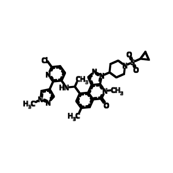 Cc1cc(C(C)Nc2ccc(Cl)nc2-c2cnn(C)c2)c2c(c1)c(=O)n(C)c1c2cnn1C1CCN(S(=O)(=O)C2CC2)CC1